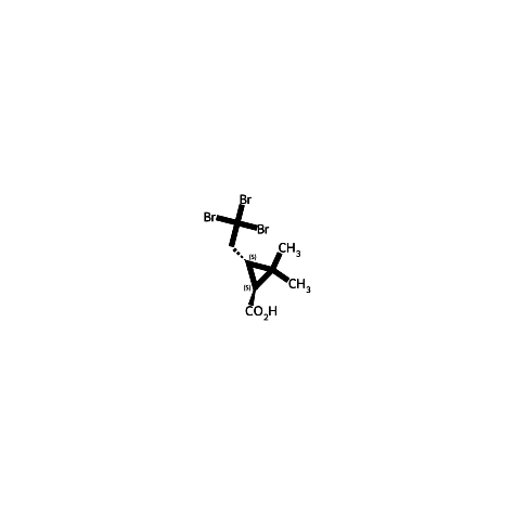 CC1(C)[C@@H](CC(Br)(Br)Br)[C@@H]1C(=O)O